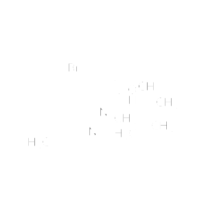 CCCC[n+]1ccn(CC(O)(C(C)=C(C(C)C)C(C)C)c2ccccc2)c1.[Br-]